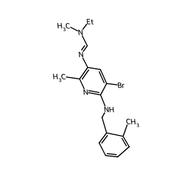 CCN(C)C=Nc1cc(Br)c(NCc2ccccc2C)nc1C